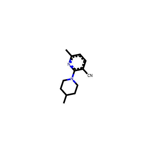 Cc1ccc(C#N)c(N2CCC(C)CC2)n1